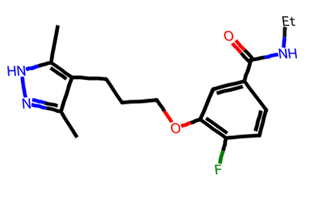 CCNC(=O)c1ccc(F)c(OCCCc2c(C)n[nH]c2C)c1